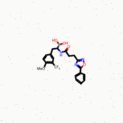 COc1ccc(CC(NC(=O)CCc2noc(-c3ccccc3)n2)B(O)O)cc1C(F)(F)F